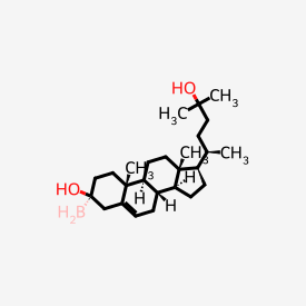 B[C@]1(O)CC[C@@]2(C)C(=CC[C@H]3[C@@H]4CC[C@H]([C@H](C)CCC(C)(C)O)[C@@]4(C)CC[C@@H]32)C1